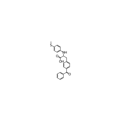 CSc1ccc(NC(Cc2ccc(C(=O)c3ccccc3)cc2)C(=O)O)cc1